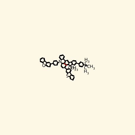 CC(C)(C)c1ccc(-c2ccc3c(c2)C(C)(C)c2ccc(-c4ccccc4N(c4ccc(-c5ccc6c(c5)sc5ccccc56)cc4)c4ccc(-c5ccc6oc7ccccc7c6c5)cc4)cc2-3)cc1